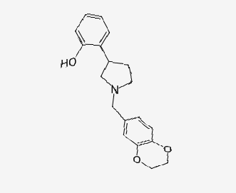 Oc1ccccc1C1CCN(Cc2ccc3c(c2)OCCO3)C1